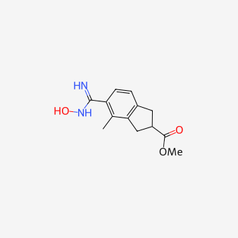 COC(=O)C1Cc2ccc(C(=N)NO)c(C)c2C1